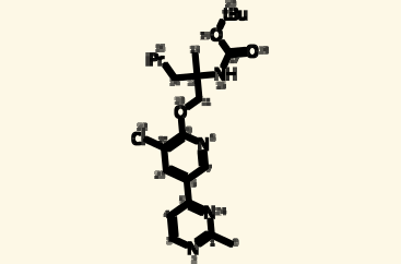 Cc1nccc(-c2cnc(OCC(C)(CC(C)C)NC(=O)OC(C)(C)C)c(Cl)c2)n1